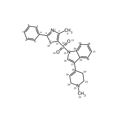 Cc1nc(-c2ccccc2)sc1S(=O)(=O)n1cc(C2=CCN(C)CC2)c2ccccc21